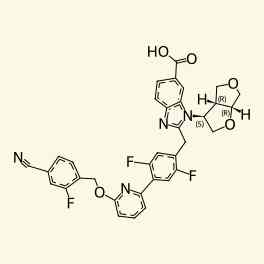 N#Cc1ccc(COc2cccc(-c3cc(F)c(Cc4nc5ccc(C(=O)O)cc5n4[C@@H]4CO[C@H]5COC[C@H]54)cc3F)n2)c(F)c1